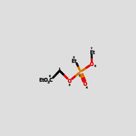 CCOC(=O)COP(=O)(CC)OCC